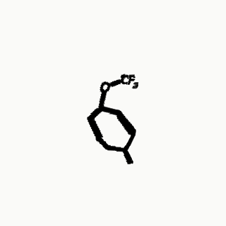 CC1C=CC(OC(F)(F)F)C=CC1